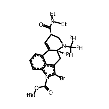 [2H]C([2H])([2H])N1C[C@H](C(=O)N(CC)CC)C=C2c3cccc4c3c(c(Br)n4C(=O)OC(C)(C)C)C[C@H]21